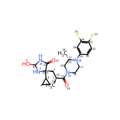 C[C@@H](C[C@@]1(C2CC2)NC(O)NC1=O)C(=O)N1CCN(c2ccc(F)c(F)c2)[C@@H](C)C1